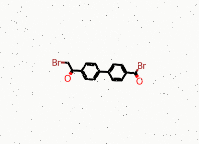 O=C(Br)c1ccc(-c2ccc(C(=O)CBr)cc2)cc1